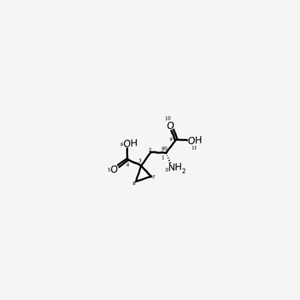 N[C@H](CC1(C(=O)O)CC1)C(=O)O